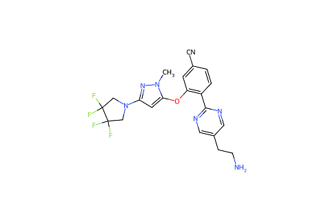 Cn1nc(N2CC(F)(F)C(F)(F)C2)cc1Oc1cc(C#N)ccc1-c1ncc(CCN)cn1